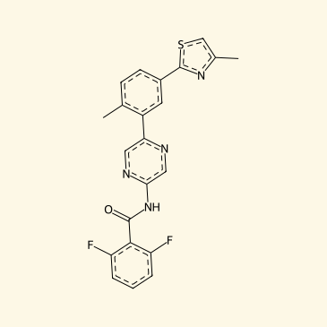 Cc1csc(-c2ccc(C)c(-c3cnc(NC(=O)c4c(F)cccc4F)cn3)c2)n1